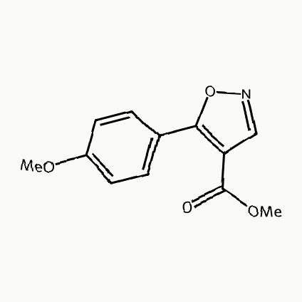 COC(=O)c1cnoc1-c1ccc(OC)cc1